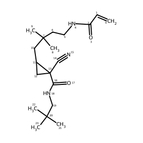 C=CC(=O)NCCC(C)(C)CC1CC1(C#N)C(=O)NCC(C)(C)C